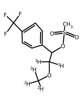 [2H]C([2H])([2H])OC([2H])([2H])C(OS(C)(=O)=O)c1ccc(C(F)(F)F)cc1